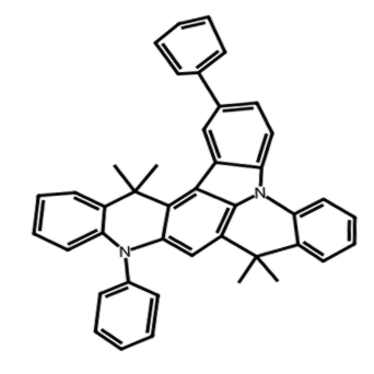 CC1(C)c2ccccc2N(c2ccccc2)c2cc3c4c(c21)c1cc(-c2ccccc2)ccc1n4-c1ccccc1C3(C)C